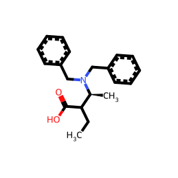 CCC(C(=O)O)[C@H](C)N(Cc1ccccc1)Cc1ccccc1